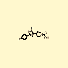 O=C(O)N1CCC(c2nc(-c3ccc(F)cc3)n[nH]2)CC1